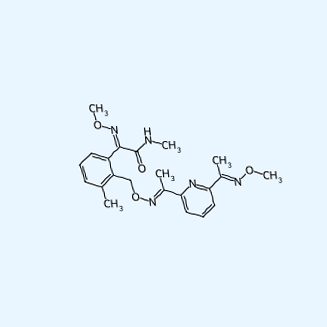 CNC(=O)/C(=N/OC)c1cccc(C)c1CO/N=C(\C)c1cccc(/C(C)=N/OC)n1